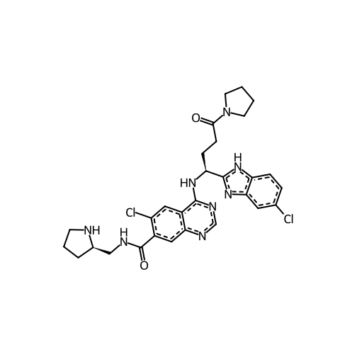 O=C(NC[C@H]1CCCN1)c1cc2ncnc(N[C@@H](CCC(=O)N3CCCC3)c3nc4cc(Cl)ccc4[nH]3)c2cc1Cl